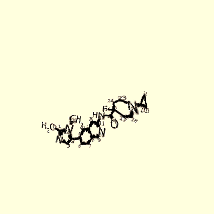 Cc1ncc(-c2ccc3cnc(NC(=O)C4(F)CCN(C5CC5)CC4)cc3c2)n1C